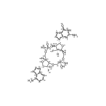 Nc1nc2c(ncn2[C@@H]2O[C@@H]3CO[PH](O)(S)CO[C@H]4[C@H](F)[C@H](n5cnc6c(N)ccnc65)O[C@@H]4CO[P@@](=O)(S)O[C@@H]2[C@@H]3F)c(=O)[nH]1